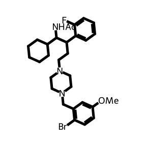 COc1ccc(Br)c(CN2CCN(CCC(c3ccccc3F)C(NC(C)=O)C3CCCCC3)CC2)c1